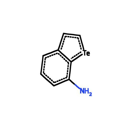 Nc1cccc2cc[te]c12